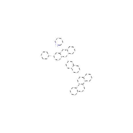 c1ccc(-c2ccc3c(-c4ccc5cc(-c6cc7c8ccccc8ccc7c7ccccc67)ccc5c4)c4ccccc4c(-c4ccccn4)c3c2)cc1